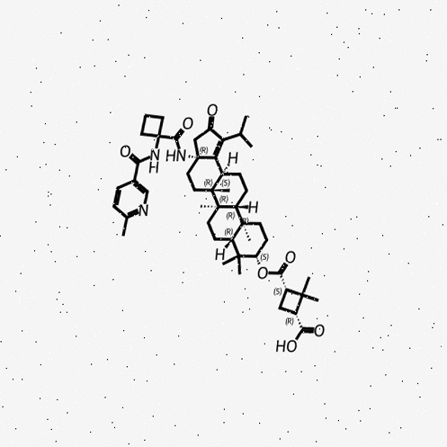 Cc1ccc(C(=O)NC2(C(=O)N[C@@]34CC[C@]5(C)[C@H](CC[C@@H]6[C@@]7(C)CC[C@H](OC(=O)[C@H]8C[C@@H](C(=O)O)C8(C)C)C(C)(C)[C@@H]7CC[C@]65C)C3=C(C(C)C)C(=O)C4)CCC2)cn1